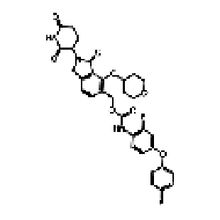 O=C1CCC(N2Cc3ccc(COC(=O)Nc4ccc(Oc5ccc(F)cc5)cc4F)c(OC4CCOCC4)c3C2=O)C(=O)N1